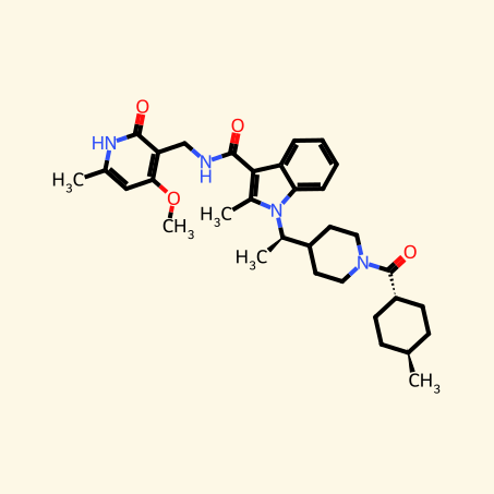 COc1cc(C)[nH]c(=O)c1CNC(=O)c1c(C)n([C@H](C)C2CCN(C(=O)[C@H]3CC[C@H](C)CC3)CC2)c2ccccc12